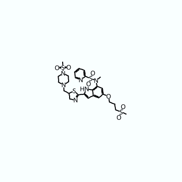 CN(c1cc(OCCCS(C)(=O)=O)cc2cc(C3=NCC(CN4CCN(S(C)(=O)=O)CC4)S3)[nH]c12)S(=O)(=O)c1ccccn1